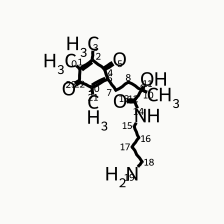 CC1=C(C)C(=O)C(CCC(C)(O)C(=O)NCCCCN)=C(C)C1=O